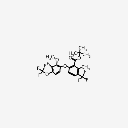 COc1c(Oc2ccc(C(F)(F)F)c(C)c2C(=O)OC(C)(C)C)ccc(OC(F)(F)F)c1F